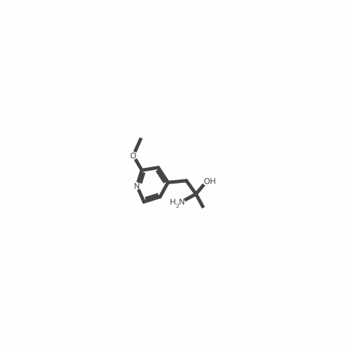 COc1cc(CC(C)(N)O)ccn1